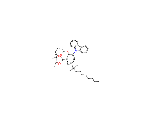 CCCCCCCC[Si](C)(C)c1cc(B2OC(C)(C)C(C)(C)O2)c(OC2CCCCO2)c(-n2c3ccccc3c3ccccc32)c1